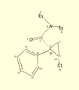 CC[C@H]1C[C@]1(C(=O)N(CC)CC)c1ccccc1